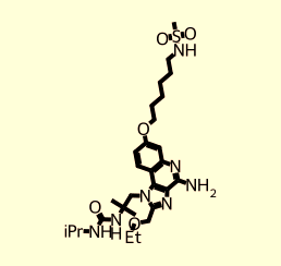 CCOCc1nc2c(N)nc3cc(OCCCCCCNS(C)(=O)=O)ccc3c2n1CC(C)(C)NC(=O)NC(C)C